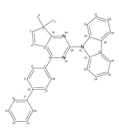 CC1(C)C=Cc2c(-c3ccc(-c4ccccc4)cc3)nc(-n3c4ccccc4c4ccccc43)nc21